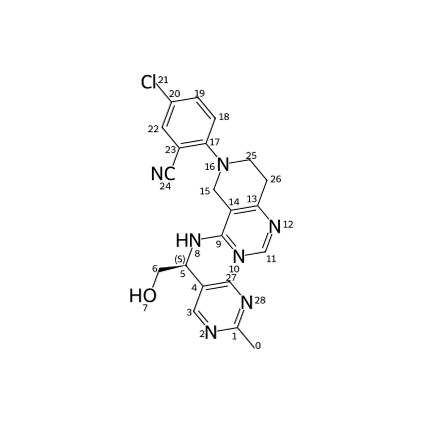 Cc1ncc([C@@H](CO)Nc2ncnc3c2CN(c2ccc(Cl)cc2C#N)CC3)cn1